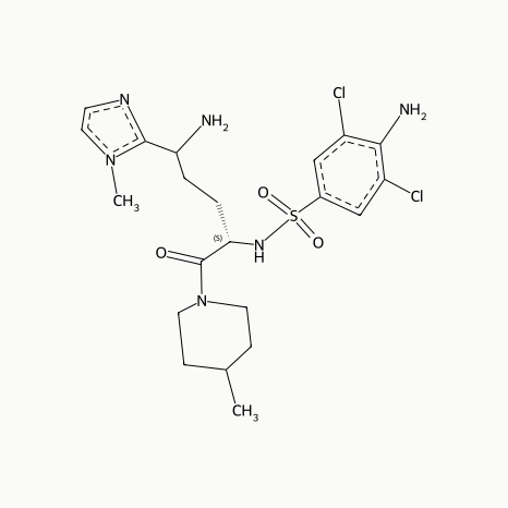 CC1CCN(C(=O)[C@H](CCC(N)c2nccn2C)NS(=O)(=O)c2cc(Cl)c(N)c(Cl)c2)CC1